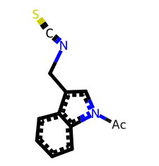 CC(=O)n1cc(CN=C=S)c2ccccc21